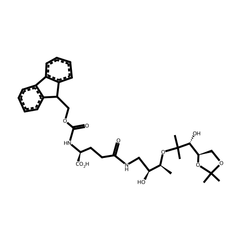 C[C@H](OC(C)(C)[C@H](O)[C@H]1COC(C)(C)O1)[C@@H](O)CNC(=O)CC[C@H](NC(=O)OCC1c2ccccc2-c2ccccc21)C(=O)O